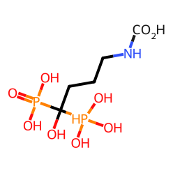 O=C(O)NCCCC(O)(P(=O)(O)O)[PH](O)(O)O